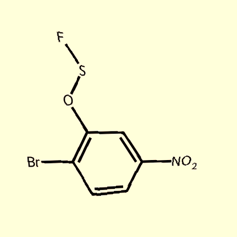 O=[N+]([O-])c1ccc(Br)c(OSF)c1